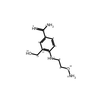 N=C(N)c1ccc(NCCON)c(CO)c1